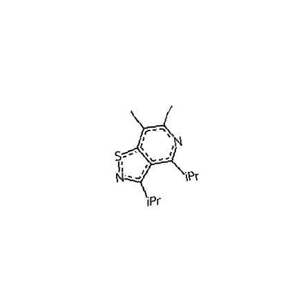 Cc1nc(C(C)C)c2c(C(C)C)nsc2c1C